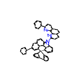 c1ccc(-c2cc3c4c(ccc5c4c4c(cccc4n5-c4ccc5ccc6ccc(-c7ccccc7)nc6c5n4)C34c3ccccc3-c3ccccc34)c2)cc1